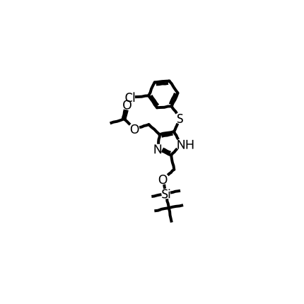 CC(=O)OCc1nc(CO[Si](C)(C)C(C)(C)C)[nH]c1Sc1cccc(Cl)c1